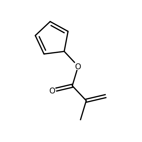 C=C(C)C(=O)OC1C=CC=C1